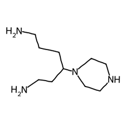 NCCCC(CCN)N1CCNCC1